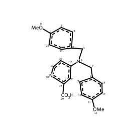 COc1ccc(CN(Cc2ccc(OC)cc2)c2ccnc(C(=O)O)c2)cc1